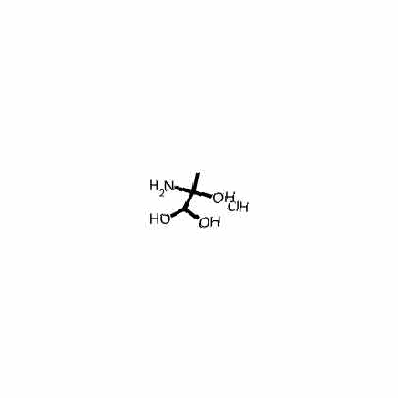 CC(N)(O)C(O)O.Cl